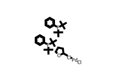 CC(C)(C)P(c1ccccc1)C(C)(C)C.CC(C)(C)P(c1ccccc1)C(C)(C)C.CC1CCCO1.[Cl][Pd][Cl]